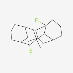 CC1CC2CCCC(F)(C1)C2C1(C)CC2CCCC(C2)C1F